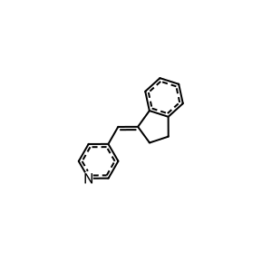 C(=C1CCc2ccccc21)c1ccncc1